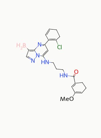 Bc1cnn2c(NCCCNC(=O)C3=CC(OC)=CCC3)cc(C3=C(Cl)CCC=C3)nc12